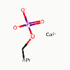 CCCCOP(=O)([O-])[O-].[Ca+2]